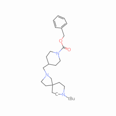 CC(C)(C)N1CCC2(CCN(CC3CCN(C(=O)OCc4ccccc4)CC3)C2)CC1